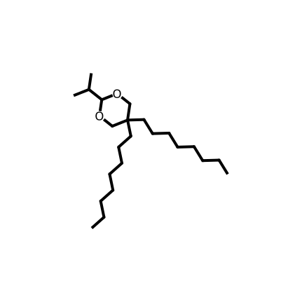 CCCCCCCCC1(CCCCCCCC)COC(C(C)C)OC1